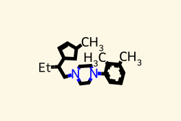 CCC(CN1CCN(c2cccc(C)c2C)CC1)C1C=CC(C)C1